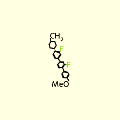 C=C[C@H]1CC[C@H](c2ccc(-c3ccc(-c4ccc(COC)cc4)c(F)c3)cc2F)CC1